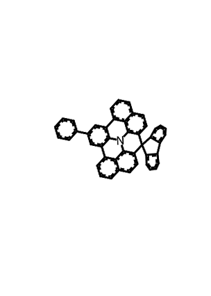 c1ccc(-c2cc3c4c(c2)-c2cccc5ccc6c(c25)N4c2c(ccc4cccc-3c24)C62c3ccccc3-c3ccccc32)cc1